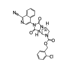 N#Cc1ncc(N2C(=O)[C@@H]3C4C[C@H](CN4C(=O)OCc4ccccc4Cl)N3C2=O)c2ccccc12